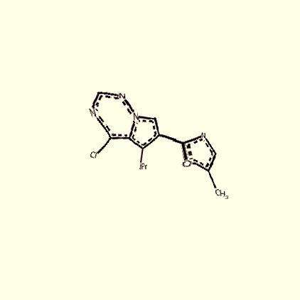 Cc1cnc(-c2cn3ncnc(Cl)c3c2C(C)C)o1